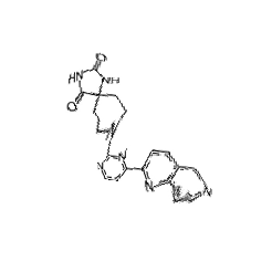 O=C1NC(=O)C2(CCN(c3nccc(-c4ccc5cnccc5n4)n3)CC2)N1